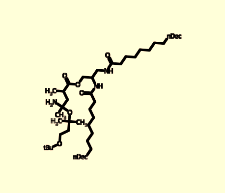 CCCCCCCCCCCCCCCCCC(=O)NCC(COC(=O)C(C)CC(C)(N)OC(C)(C)CCOC(C)(C)C)NC(=O)CCCCCCCCCCCCCCCCC